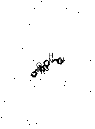 O=c1c2c3c(sc2ncn1Cc1ccccc1)CC(NCCc1cccnc1)CC3